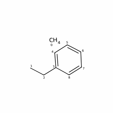 C.CCc1ccccc1